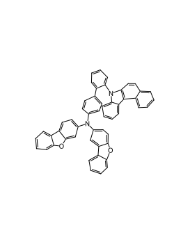 c1ccc(-n2c3ccccc3c3c4ccccc4ccc32)c(-c2ccc(N(c3ccc4c(c3)oc3ccccc34)c3ccc4oc5ccccc5c4c3)cc2)c1